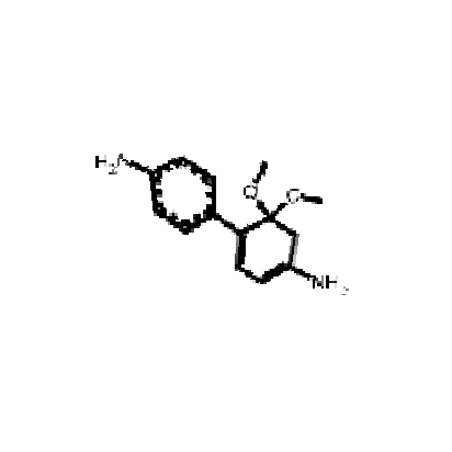 COC1(OC)CC(N)=CC=C1c1ccc(N)cc1